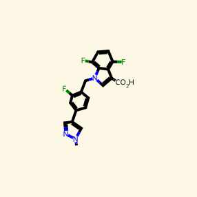 Cn1cc(-c2ccc(Cn3cc(C(=O)O)c4c(F)ccc(F)c43)c(F)c2)cn1